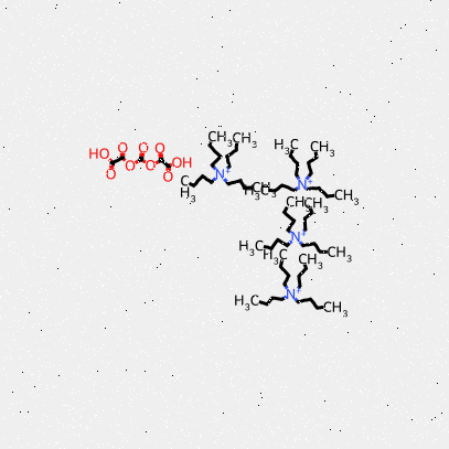 CCCC[N+](CCCC)(CCCC)CCCC.CCCC[N+](CCCC)(CCCC)CCCC.CCCC[N+](CCCC)(CCCC)CCCC.CCCC[N+](CCCC)(CCCC)CCCC.O=C(OC(=O)C(=O)O)OC(=O)C(=O)O